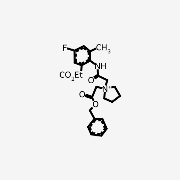 CCOC(=O)c1cc(F)cc(C)c1NC(=O)C[N+]1(CC(=O)OCc2ccccc2)CCCC1